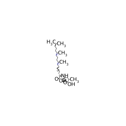 CC(C)=CCC/C(C)=C/CC/C(C)=C/CSCC[C@H](NC(=O)CC(C)C(=O)O)C(=O)O